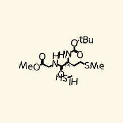 COC(=O)CNC(=O)[C@H](CCSC)NC(=O)OC(C)(C)C.CS.I